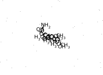 C[C@@H]1C[C@H](CC(C)(C)O)O[C@@H]2C[C@@]3(C)[C@@H]4CC[C@H]5C(C)(C)[C@@H](O[C@@H](CO)OCCN)CC[C@@]56C[C@@]46CC[C@]3(C)C12